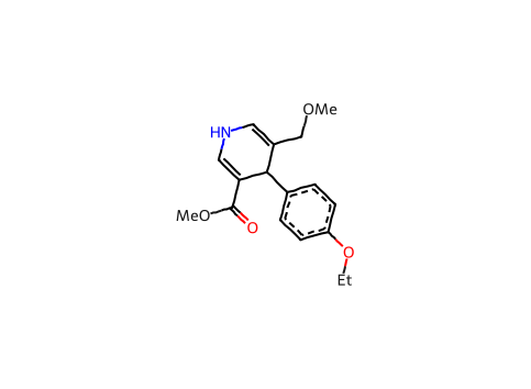 CCOc1ccc(C2C(COC)=CNC=C2C(=O)OC)cc1